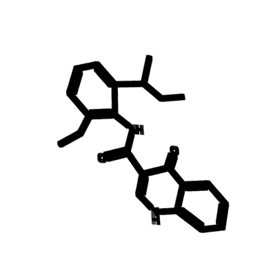 CCc1cccc(C(C)CC)c1NC(=O)c1c[nH]c2ccccc2c1=O